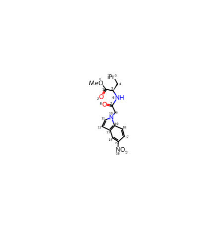 COC(=O)[C@@H](CC(C)C)NC(=O)Cn1ccc2cc([N+](=O)[O-])ccc21